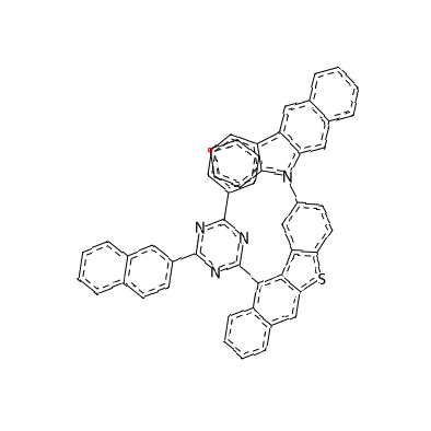 c1ccc(-c2nc(-c3ccc4ccccc4c3)nc(-c3c4ccccc4cc4sc5ccc(-n6c7ccccc7c7cc8ccccc8cc76)cc5c34)n2)cc1